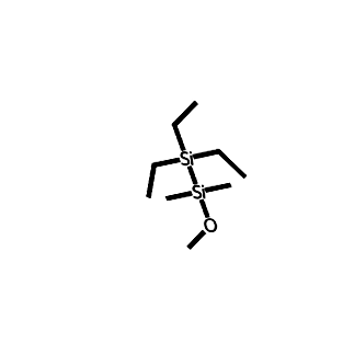 CC[Si](CC)(CC)[Si](C)(C)OC